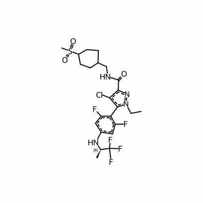 CCn1nc(C(=O)NCC2CCC(S(C)(=O)=O)CC2)c(Cl)c1-c1c(F)cc(N[C@H](C)C(F)(F)F)cc1F